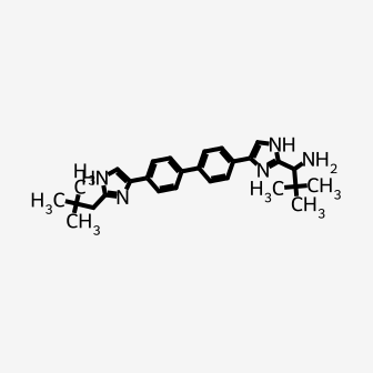 CC(C)(C)Cc1nc(-c2ccc(-c3ccc(-c4c[nH]c(C(N)C(C)(C)C)n4)cc3)cc2)c[nH]1